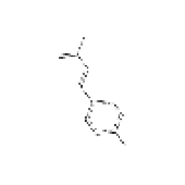 C=C(C)/C=C/c1ccc(C)cc1